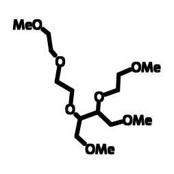 COCCOCCOC(COC)C(COC)OCCOC